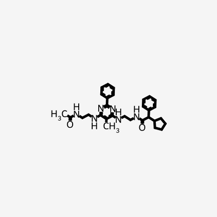 CC(=O)NCCNc1nc(-c2ccccc2)nc(NCCNC(=O)C(c2ccccc2)C2CCCC2)c1C